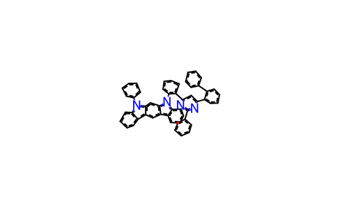 c1ccc(-c2nc(-c3ccccc3-c3ccccc3)cc(-c3ccccc3-n3c4ccccc4c4cc5c6ccccc6n(-c6ccccc6)c5cc43)n2)cc1